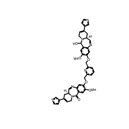 COc1cc2c(cc1OCc1cccc(COc3cc4c(cc3OC)C(O)N3CC=C(c5ccsc5)C[C@H]3C=N4)n1)N=C[C@@H]1CC(c3ccsc3)=CCN1C2=O